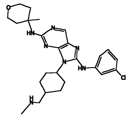 CNCC1CCC(n2c(Nc3cccc(Cl)c3)nc3cnc(NC4(C)CCOCC4)nc32)CC1